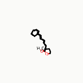 CC1(C/C=C/C=C/c2ccccc2)CCCOC1=O